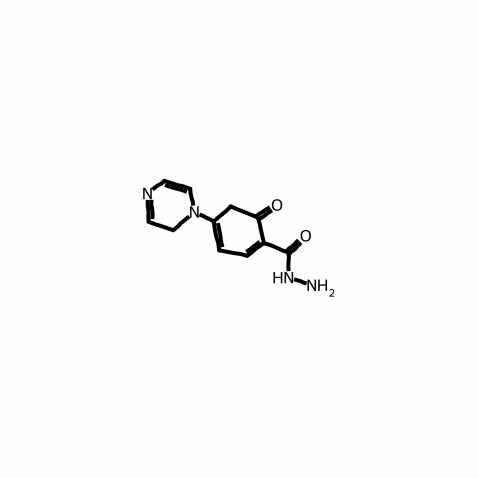 NNC(=O)C1=CC=C(N2C=CN=CC2)CC1=O